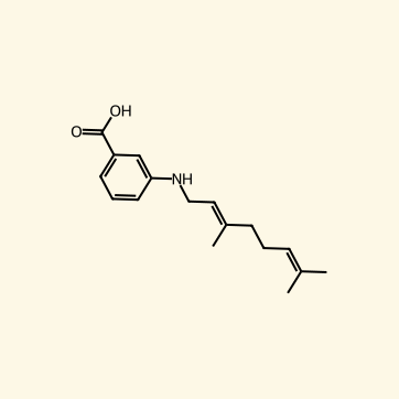 CC(C)=CCC/C(C)=C/CNc1cccc(C(=O)O)c1